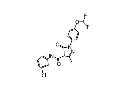 CC1=NN(c2ccc(OC(F)F)cc2)C(=O)C1C(=O)Nc1cccc(Cl)c1